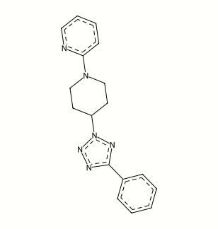 c1ccc(-c2nnn(C3CCN(c4ccccn4)CC3)n2)cc1